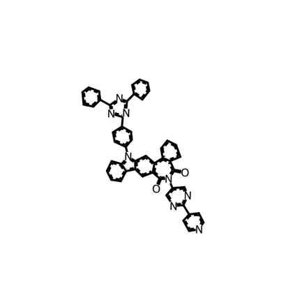 O=c1c2ccccc2c2cc3c(cc2c(=O)n1-c1cnc(-c2ccncc2)nc1)c1ccccc1n3-c1ccc(-c2nc(-c3ccccc3)nc(-c3ccccc3)n2)cc1